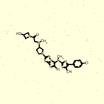 CCc1nc2sc(N3CCC(N(C)CC(=O)N4CC(O)C4)C3)nn2c1N(C)c1nc(-c2ccc(Cl)cc2)c(C#N)s1